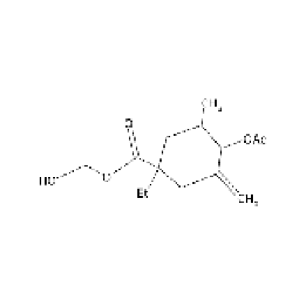 C=C1CC(CC)(C(=O)OCO)CC(C)C1OC(C)=O